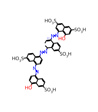 C/C=C(/N=Nc1cc(S(=O)(=O)O)cc2cc(S(=O)(=O)O)cc(O)c12)c1ccc(S(=O)(=O)O)cc1C(C)N=Nc1ccc(N=Nc2ccc(O)c3cc(S(=O)(=O)O)ccc23)c2cc(S(=O)(=O)O)ccc12